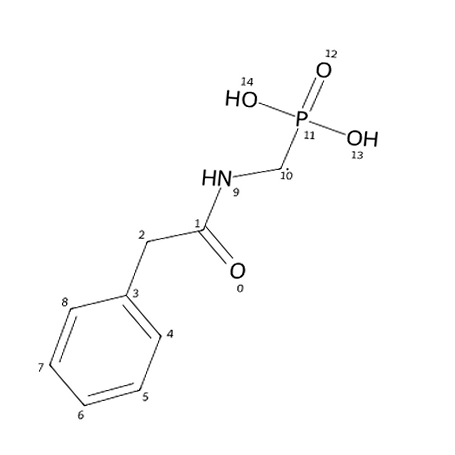 O=C(Cc1ccccc1)N[CH]P(=O)(O)O